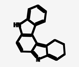 C1=C2N=c3ccc4[nH]c5ccccc5c4c3=C2CCC1